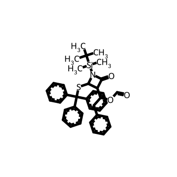 CC(C)(C)[Si](C)(C)N1C(=O)C(C(Cc2ccccc2)OC=O)C1SC(c1ccccc1)(c1ccccc1)c1ccccc1